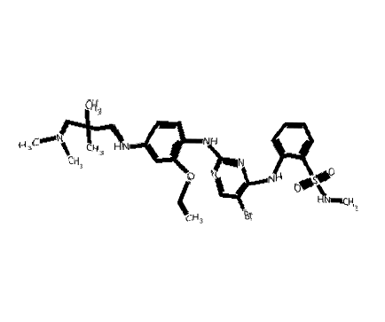 CCOc1cc(NCC(C)(C)CN(C)C)ccc1Nc1ncc(Br)c(Nc2ccccc2S(=O)(=O)NC)n1